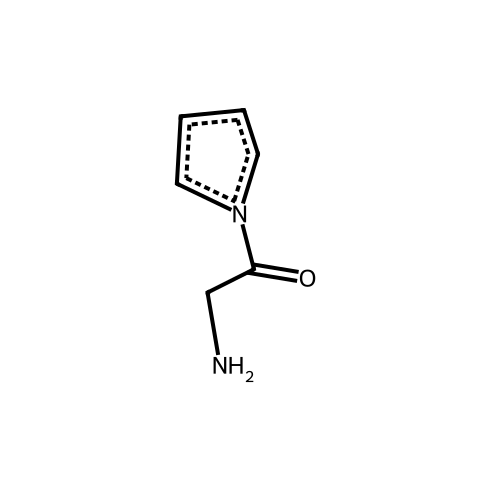 NCC(=O)n1cccc1